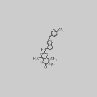 Cc1nc(NC2CCc3nn(Cc4ccc(C(F)(F)F)nc4)cc32)nc2c1NC(=O)[C@H](C(C)C)N2C